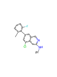 Cc1cccc(F)c1-c1cc(Cl)c2cc(NC(C)C)ncc2c1